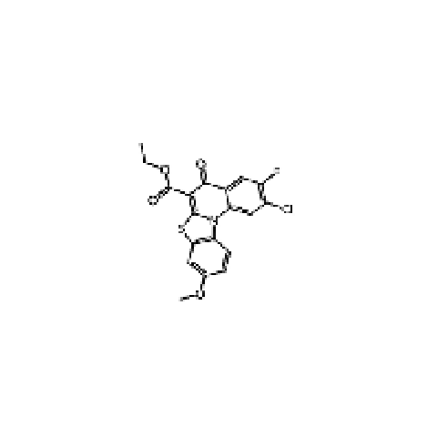 CCOC(=O)c1c(=O)c2cc(F)c(Cl)cc2n2c1sc1cc(OC)ccc12